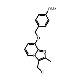 COc1ccc(COc2cccn3c(CCl)c(C)nc23)cc1